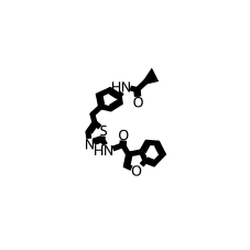 O=C(Nc1ncc(Cc2ccc(NC(=O)C3CC3)cc2)s1)c1coc2ccccc12